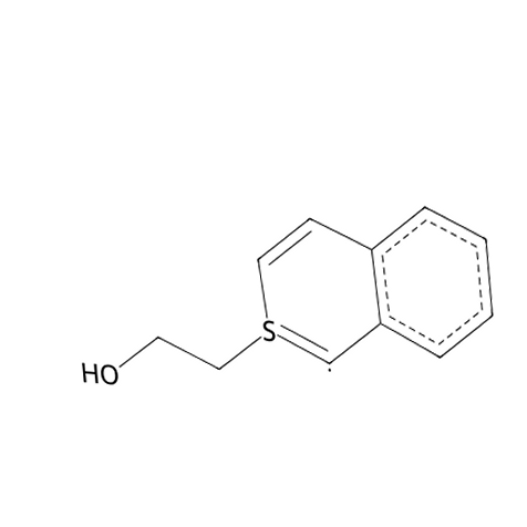 OCCS1=[C]c2ccccc2C=C1